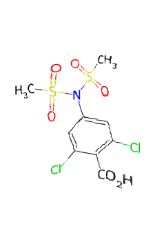 CS(=O)(=O)N(c1cc(Cl)c(C(=O)O)c(Cl)c1)S(C)(=O)=O